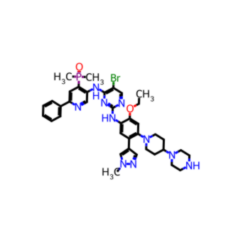 CCOc1cc(N2CCC(N3CCNCC3)CC2)c(-c2cnn(C)c2)cc1Nc1ncc(Br)c(Nc2cnc(-c3ccccc3)cc2P(C)(C)=O)n1